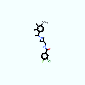 COc1ccc(C(C)N2CC(CNC(=O)c3ccc(F)c(Cl)c3)C2)c(C)c1C